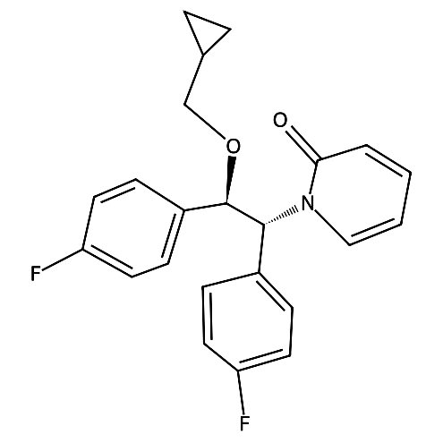 O=c1ccccn1[C@H](c1ccc(F)cc1)[C@H](OCC1CC1)c1ccc(F)cc1